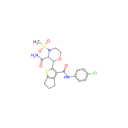 CS(=O)(=O)N1CCOC(c2sc3c(c2C(=O)Nc2ccc(Cl)cc2)CCC3)C1C(N)=O